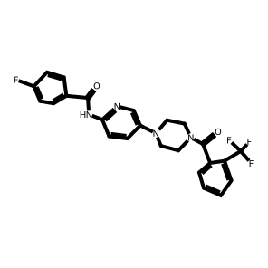 O=C(Nc1ccc(N2CCN(C(=O)c3ccccc3C(F)(F)F)CC2)cn1)c1ccc(F)cc1